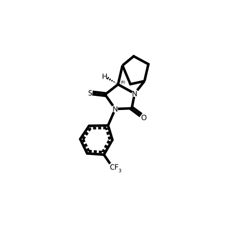 O=C1N(c2cccc(C(F)(F)F)c2)C(=S)[C@H]2C3CCC(C3)N12